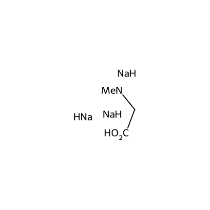 CNCC(=O)O.[NaH].[NaH].[NaH]